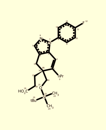 CCCC1=Cc2c(cnn2-c2ccc(F)cc2)C[C@@]1(CCC(=O)O)CO[Si](C)(C)C(C)(C)C